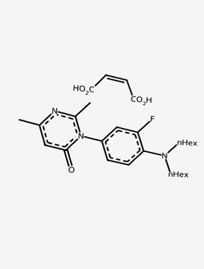 CCCCCCN(CCCCCC)c1ccc(-n2c(C)nc(C)cc2=O)cc1F.O=C(O)/C=C\C(=O)O